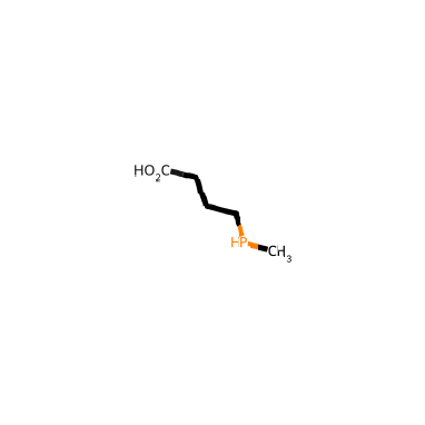 CPCCCC(=O)O